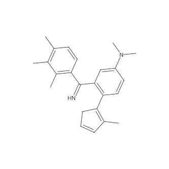 CC1=C(c2ccc(N(C)C)cc2C(=N)c2ccc(C)c(C)c2C)CC=C1